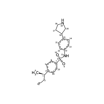 C[C@H](CF)c1ccc(S(=O)(=O)Nc2ccc(C3CCNC3)cc2)cc1